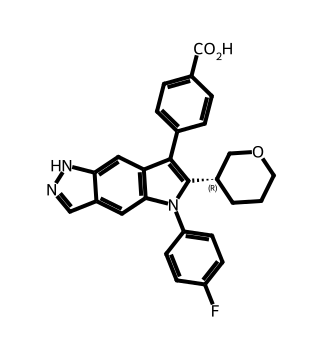 O=C(O)c1ccc(-c2c([C@H]3CCCOC3)n(-c3ccc(F)cc3)c3cc4cn[nH]c4cc23)cc1